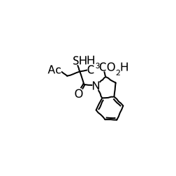 CC(=O)CC(C)(S)C(=O)N1c2ccccc2CC1C(=O)O